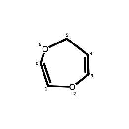 [C]1=COC=CCO1